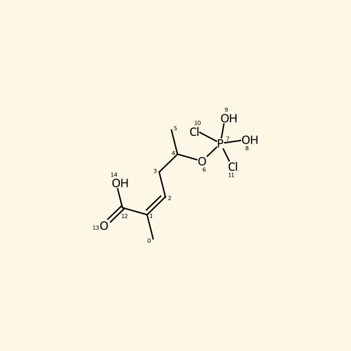 CC(=CCC(C)OP(O)(O)(Cl)Cl)C(=O)O